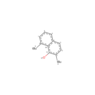 CC(C)(C)c1ccc2cccc(C(C)(C)C)c2c1[O]